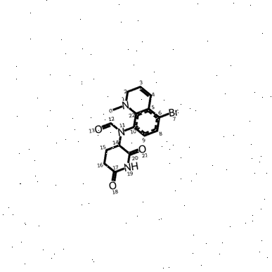 CN1CC=Cc2c(Br)ccc(N(C=O)C3CCC(=O)NC3=O)c21